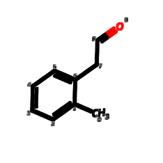 Cc1ccccc1C[C]=O